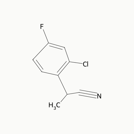 CC(C#N)c1ccc(F)cc1Cl